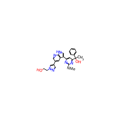 CNc1nc(-c2c[nH]c3ncc(-c4cnn(CCO)c4)cc23)cc(C(C)(O)c2ccccc2)n1